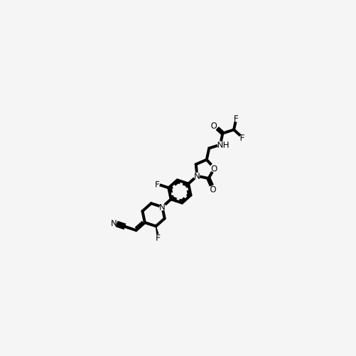 N#CC=C1CCN(c2ccc(N3CC(CNC(=O)C(F)F)OC3=O)cc2F)C[C@H]1F